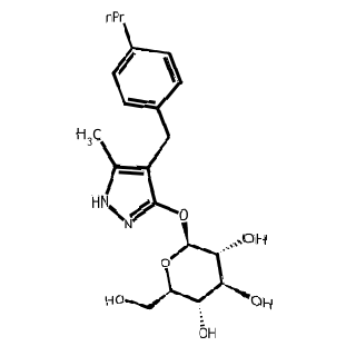 CCCc1ccc(Cc2c(O[C@@H]3O[C@H](CO)[C@@H](O)[C@H](O)[C@H]3O)n[nH]c2C)cc1